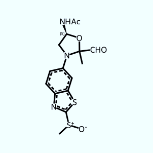 CC(=O)N[C@@H]1CN(c2ccc3nc([S+](C)[O-])sc3c2)C(C)(C=O)O1